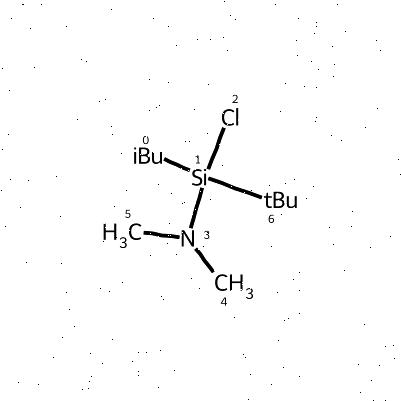 CCC(C)[Si](Cl)(N(C)C)C(C)(C)C